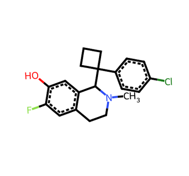 CN1CCc2cc(F)c(O)cc2C1C1(c2ccc(Cl)cc2)CCC1